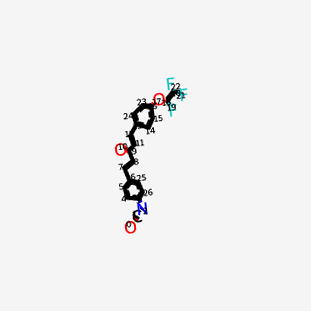 O=C=Nc1ccc(C=CC(=O)C=Cc2ccc(OC(F)=C(F)F)cc2)cc1